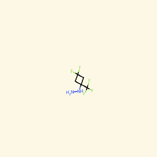 NNC1(C(F)(F)F)CC(F)(F)C1